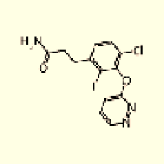 NC(=O)C[CH]c1ccc(Cl)c(Oc2cccnn2)c1F